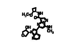 CNc1cc(-c2cn([C@@H]3COC[C@H]3O)c3ncccc23)nc2c(C(=O)N[C@H]3CC[C@@H]3OC)cnn12